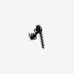 CCCCCCCCCCCCCc1nc2ccccc2c(=O)n1CCCNC(=O)OC(C)(C)C